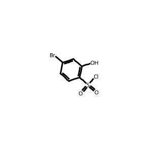 O=S(=O)(Cl)c1ccc(Br)cc1O